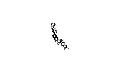 C[C@H](F)CN1CCC(C(=O)Nc2cc3cc(-c4cc(CN5CCCCC5)n(C)n4)ccc3cn2)CC1